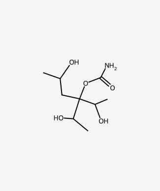 CC(O)CC(OC(N)=O)(C(C)O)C(C)O